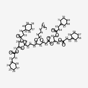 CN(C)CCCC(=O)OC(CCCC(=O)OC(COC(=O)CCC1CCCCC1)COC(=O)CCC1CCCCC1)CCCC(=O)OC(COC(=O)CCC1CCCCC1)COC(=O)CCC1CCCCC1